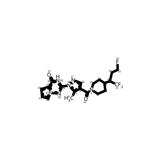 Cc1c(C(=O)N2CCC(C(CCF)C(F)(F)F)CC2)cnn1-c1nn2cccc2c(=O)[nH]1